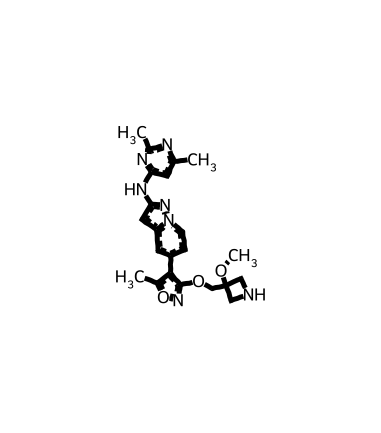 COC1(COc2noc(C)c2-c2ccn3nc(Nc4cc(C)nc(C)n4)cc3c2)CNC1